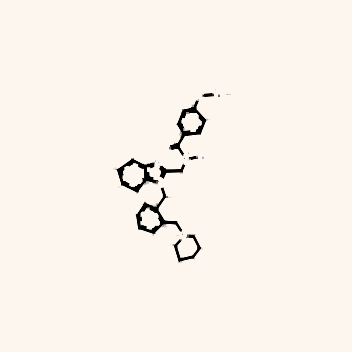 CCCCCOc1ccc(C(=O)N(CCCC)Cc2nc3ccccc3n2Cc2ccccc2CN2CCCCC2)cc1